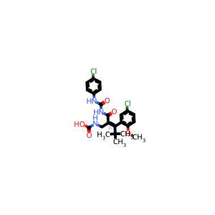 COc1ccc(Cl)cc1/C(=C(/CNC(=O)O)C(=O)NC(=O)Nc1ccc(Cl)cc1)C(C)(C)C